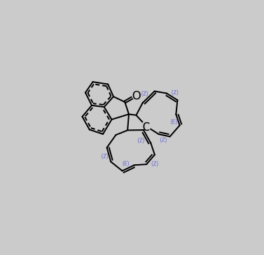 O=C1c2cccc3cccc(c23)C1(C1\C=C/C=C\C=C\C=C/C1)C1\C=C/C=C\C=C\C=C/C1